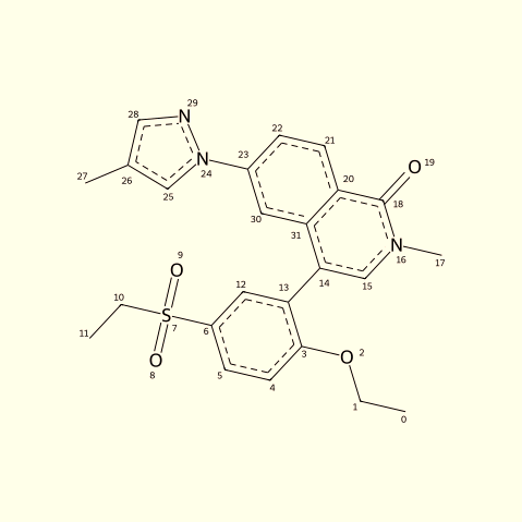 CCOc1ccc(S(=O)(=O)CC)cc1-c1cn(C)c(=O)c2ccc(-n3cc(C)cn3)cc12